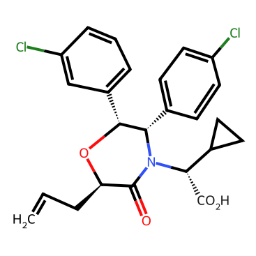 C=CC[C@H]1O[C@H](c2cccc(Cl)c2)[C@H](c2ccc(Cl)cc2)N([C@@H](C(=O)O)C2CC2)C1=O